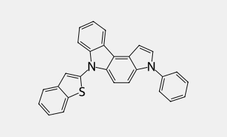 c1ccc(-n2ccc3c4c5ccccc5n(-c5cc6ccccc6s5)c4ccc32)cc1